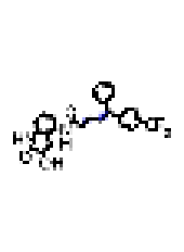 O=C(/C=C/C=C(\c1ccccc1)c1ccc(C(F)(F)F)cc1)Nc1cccc2c1CC(O)C(=O)N2